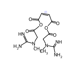 CN(CC(=O)OC(=O)/C=C\C(=O)OC(=O)CN(C)C(=N)N)C(=N)N